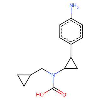 Nc1ccc(C2CC2N(CC2CC2)C(=O)O)cc1